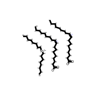 CCCCCCCC/C=C\CCCCCCCC(=O)[O-].CCCCCCCC/C=C\CCCCCCCC(=O)[O-].CCCCCCC[CH2][Sn+2][CH2]CCCCCCC